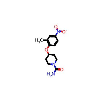 Cc1cc([N+](=O)[O-])ccc1OC1CCN(C(N)=O)CC1